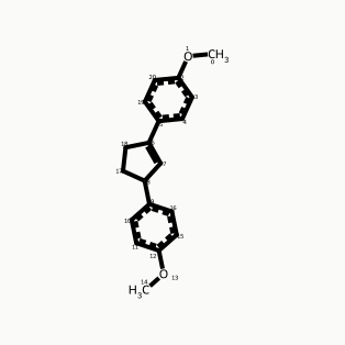 COc1ccc(C2=CC(c3ccc(OC)cc3)CC2)cc1